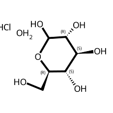 Cl.O.OC[C@H]1OC(O)[C@H](O)[C@@H](O)[C@@H]1O